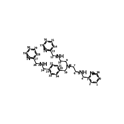 c1ccc(CNCCN(CCNCc2ccccn2)Cc2ccc(CNCc3ccccn3)cc2)nc1